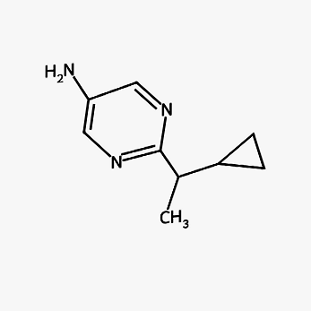 CC(c1ncc(N)cn1)C1CC1